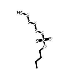 CCCCOS(=S)(=S)SSSSSS